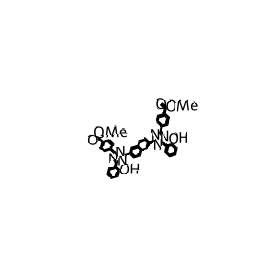 COC(=O)c1ccc(-c2nc(-c3ccc4cc(-c5nc(-c6ccc(C(=O)OC)cc6)nc(-c6ccccc6O)n5)ccc4c3)nc(-c3ccccc3O)n2)cc1